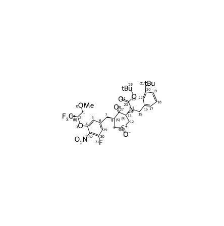 COC[C@@H](Oc1cc(C[C@@H]2C[S@@+]([O-])C[C@H](N(Cc3cccc(C(C)(C)C)c3)C(=O)OC(C)(C)C)C2=O)cc(F)c1[N+](=O)[O-])C(F)(F)F